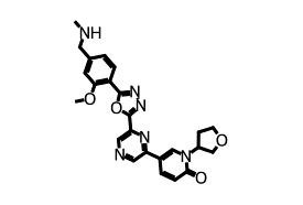 CNCc1ccc(-c2nnc(-c3cncc(-c4ccc(=O)n(C5CCOC5)c4)n3)o2)c(OC)c1